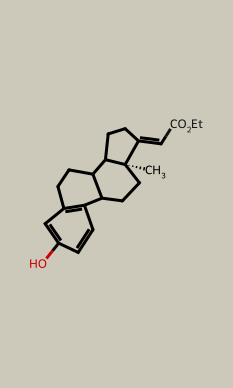 CCOC(=O)C=C1CCC2C3CCc4cc(O)ccc4C3CC[C@]12C